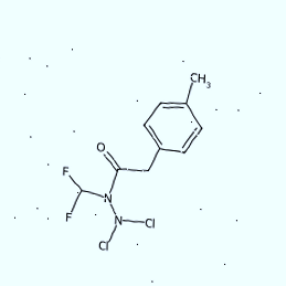 Cc1ccc(CC(=O)N(C(F)F)N(Cl)Cl)cc1